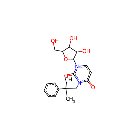 CC(C)(Cn1c(=O)ccn(C2OC(CO)C(O)C2O)c1=O)c1ccccc1